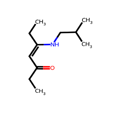 CCC(=O)C=C(CC)NCC(C)C